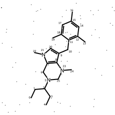 CCC(CC)N1Cc2c(c(Cc3c(C)cc(C)cc3C)cn2C)N(C)C1